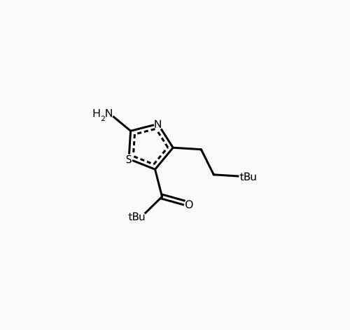 CC(C)(C)CCc1nc(N)sc1C(=O)C(C)(C)C